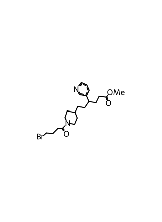 COC(=O)CCC(CCC1CCN(C(=O)CCCBr)CC1)c1cccnc1